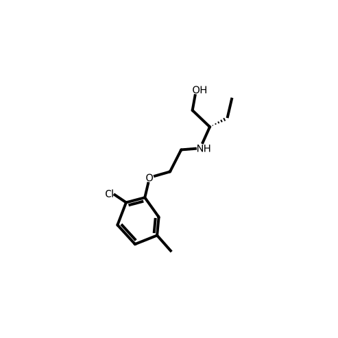 CC[C@@H](CO)NCCOc1cc(C)ccc1Cl